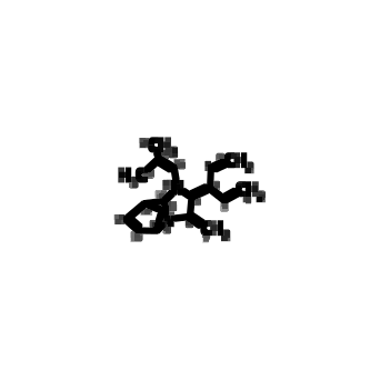 C=CC(C=C)=C1C(=C)N2C3C=CC(C3)C2N1C=C(C)C